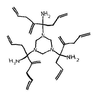 C=CCC(=C)C(N)(CC=C)N1CN(C(N)(CC=C)C(=C)CC=C)CN(C(N)(CC=C)C(=C)CC=C)C1